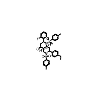 CCc1ccc(C2C[C@H]3[C@@H](CN2S(=O)(=O)c2ccc(C)cc2)C(=O)CC(c2ccccc2F)N3S(=O)(=O)c2ccc(C)cc2)cc1